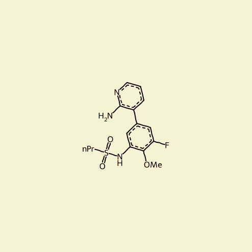 CCCS(=O)(=O)Nc1cc(-c2cccnc2N)cc(F)c1OC